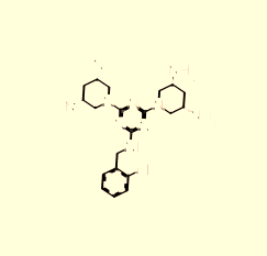 N[C@@H]1C[C@H](N)CN(c2nc(NCc3ccccc3Cl)nc(N3C[C@H](N)C[C@H](N)C3)n2)C1